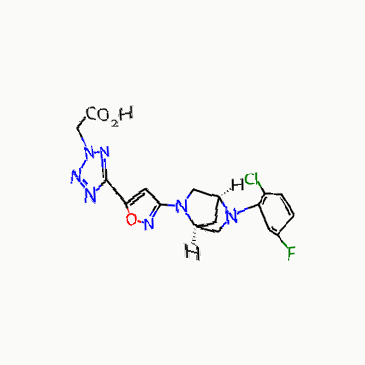 O=C(O)Cn1nnc(-c2cc(N3C[C@@H]4C[C@H]3CN4c3cc(F)ccc3Cl)no2)n1